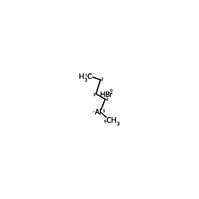 Br.CCC[CH2][Al][CH3]